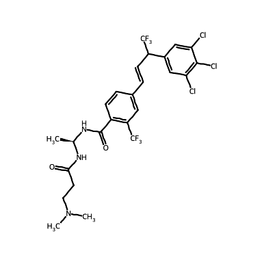 C[C@H](NC(=O)CCN(C)C)NC(=O)c1ccc(/C=C/C(c2cc(Cl)c(Cl)c(Cl)c2)C(F)(F)F)cc1C(F)(F)F